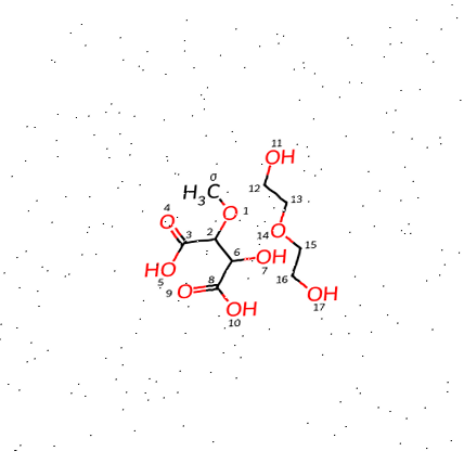 COC(C(=O)O)C(O)C(=O)O.OCCOCCO